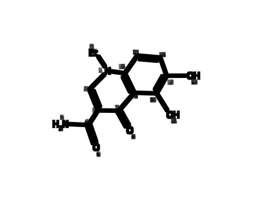 CCn1cc(C(N)=O)c(=O)c2c(O)c(O)ccc21